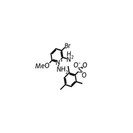 COc1ccc(Br)c(N)[n+]1N.Cc1cc(C)c(S(=O)(=O)[O-])c(C)c1